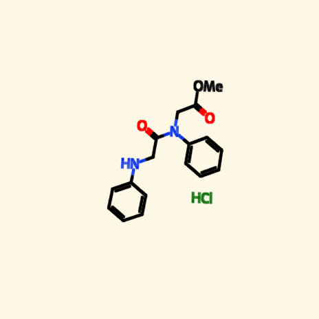 COC(=O)CN(C(=O)CNc1ccccc1)c1ccccc1.Cl